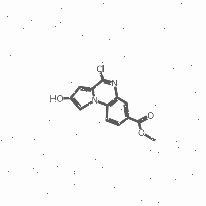 COC(=O)c1ccc2c(c1)nc(Cl)c1cc(O)cn12